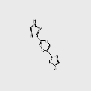 c1nc(C2=NOC(c3nc[nH]n3)=NO2)n[nH]1